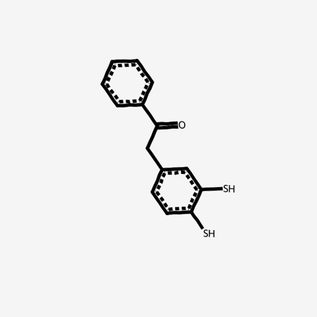 O=C(Cc1ccc(S)c(S)c1)c1ccccc1